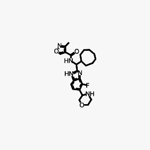 Cc1nocc1C(=O)NC(c1nc2c(F)c(C3COCCN3)ccc2[nH]1)C1CCCCCCC1